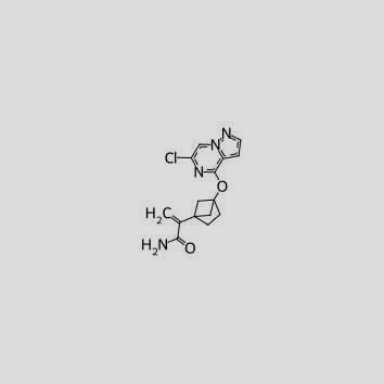 C=C(C(N)=O)C12CCC(Oc3nc(Cl)cn4nccc34)(C1)C2